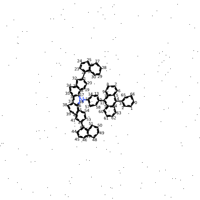 c1ccc(-c2c3ccccc3c(-c3ccc(-n4c5c6ccc(-c7cccc8ccccc78)cc6ccc5c5ccc6cc(-c7cccc8ccccc78)ccc6c54)cc3)c3ccccc23)cc1